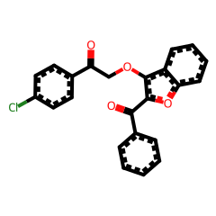 O=C(COc1c(C(=O)c2ccccc2)oc2ccccc12)c1ccc(Cl)cc1